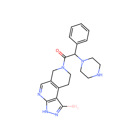 Bc1n[nH]c2ncc3c(c12)CCN(C(=O)C(c1ccccc1)N1CCNCC1)C3